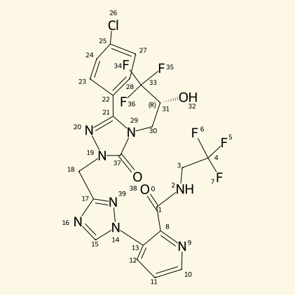 O=C(NCC(F)(F)F)c1ncccc1-n1cnc(Cn2nc(-c3ccc(Cl)cc3)n(C[C@@H](O)C(F)(F)F)c2=O)n1